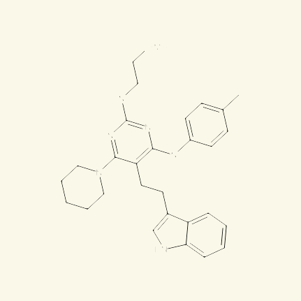 COCCNc1nc(Nc2ccc(C)cc2)c(CCc2c[nH]c3ccccc23)c(N2CCCCC2)n1